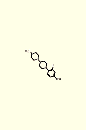 CN1CCN(C2CCN(c3ccc(C(C)(C)C)cc3F)CC2)CC1